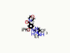 CCNc1nc(Nc2ccc(C(=O)N3CCOCC3)cc2OC(C)C)ncc1C(F)(F)F